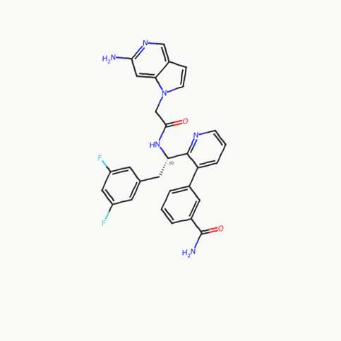 NC(=O)c1cccc(-c2cccnc2[C@H](Cc2cc(F)cc(F)c2)NC(=O)Cn2ccc3cnc(N)cc32)c1